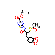 CCOC(=O)c1nsc(NC(=O)C(CSC(C)=O)Cc2ccc3c(c2)OCO3)n1